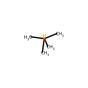 CCCCCCCCCCCCCCCCCC[PH](CCCCCCCCCCC)(CCCCCCCCCCCCCCCCCC)CCCCCCCCCCCCCCCCCC